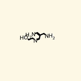 N/C=C(\C=N/CCO)CN